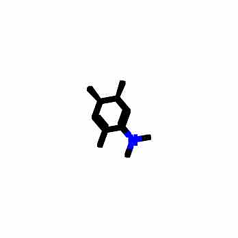 CC1=C[C@@H](C)[C@@H](C)C=C1N(C)C